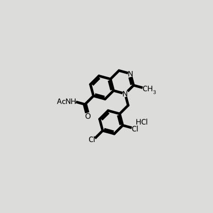 CC(=O)NC(=O)c1ccc2c(c1)N(Cc1ccc(Cl)cc1Cl)C(C)=NC2.Cl